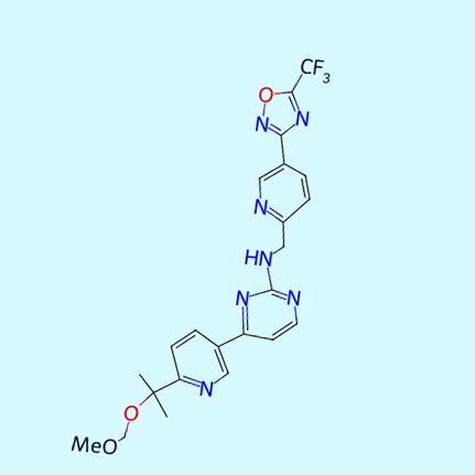 COCOC(C)(C)c1ccc(-c2ccnc(NCc3ccc(-c4noc(C(F)(F)F)n4)cn3)n2)cn1